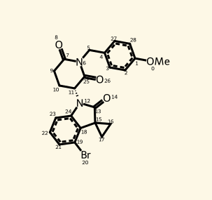 COc1ccc(CN2C(=O)CC[C@@H](N3C(=O)C4(CC4)c4c(Br)cccc43)C2=O)cc1